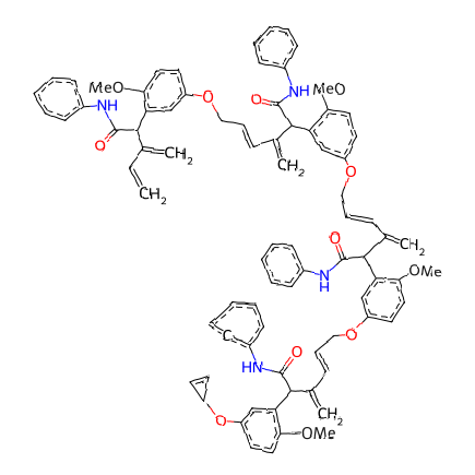 C=CC(=C)C(C(=O)Nc1ccccc1)c1cc(OC/C=C/C(=C)C(C(=O)Nc2ccccc2)c2cc(OC/C=C/C(=C)C(C(=O)Nc3ccccc3)c3cc(OC/C=C/C(=C)C(C(=O)Nc4ccccc4)c4cc(OC5C=C5)ccc4OC)ccc3OC)ccc2OC)ccc1OC